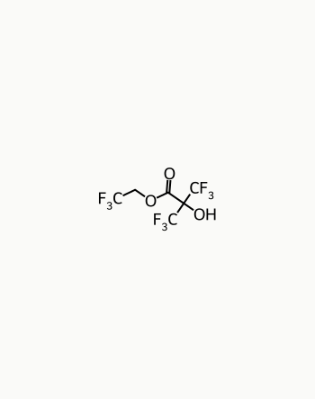 O=C(OCC(F)(F)F)C(O)(C(F)(F)F)C(F)(F)F